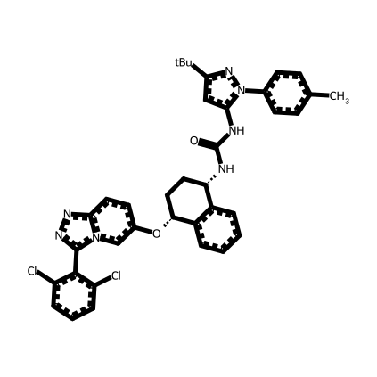 Cc1ccc(-n2nc(C(C)(C)C)cc2NC(=O)N[C@H]2CC[C@@H](Oc3ccc4nnc(-c5c(Cl)cccc5Cl)n4c3)c3ccccc32)cc1